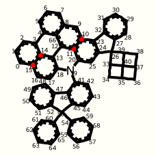 c1ccc(-c2cccc3cccc(-c4ccccc4N(c4ccc5c(c4)C4(c6ccccc6-5)C5CC6CC7CC4C675)c4cccc5c4-c4ccccc4C5(c4ccccc4)c4ccccc4)c23)cc1